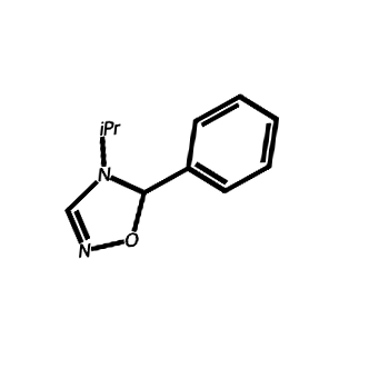 CC(C)N1C=NOC1c1ccccc1